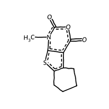 Cn1c(=O)oc(=O)c2c3c(sc21)CCCC3